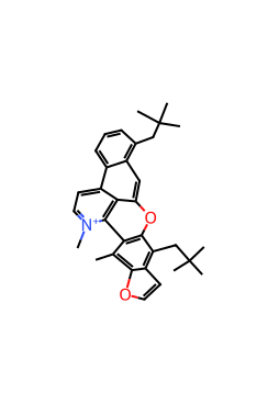 Cc1c2c(c(CC(C)(C)C)c3ccoc13)Oc1cc3c(CC(C)(C)C)cccc3c3cc[n+](C)c-2c13